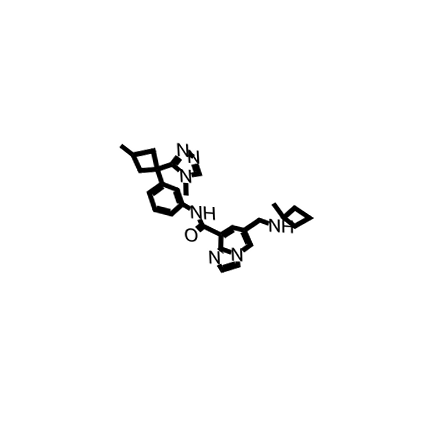 CC1CC(c2cccc(NC(=O)c3cc(CNC4(C)CCC4)cn4ccnc34)c2)(c2nncn2C)C1